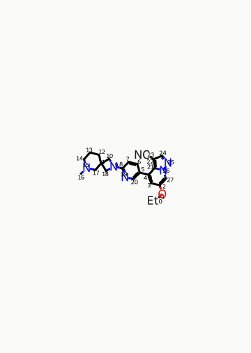 CCOc1cc(-c2ccc(N3CC4(CCCN(C)C4)C3)nc2)c2c(C#N)cnn2c1